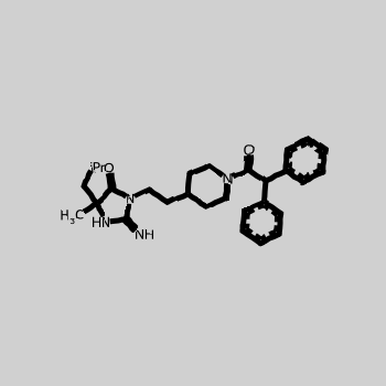 CC(C)CC1(C)NC(=N)N(CCC2CCN(C(=O)C(c3ccccc3)c3ccccc3)CC2)C1=O